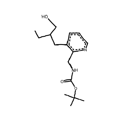 CCC(CO)Cc1cccnc1CNC(=O)OC(C)(C)C